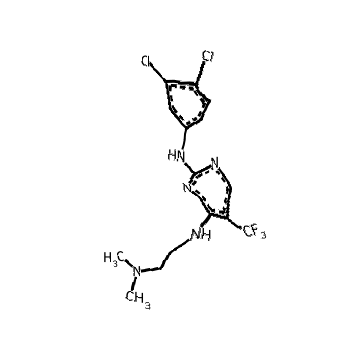 CN(C)CCNc1nc(Nc2ccc(Cl)c(Cl)c2)ncc1C(F)(F)F